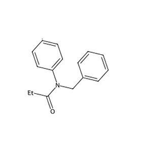 CCC(=O)N(Cc1ccccc1)c1cc[c]cc1